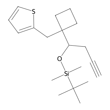 C#CCC(O[Si](C)(C)C(C)(C)C)C1(Cc2cccs2)CCC1